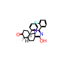 C[C@@H]1C(=O)CC[C@]2(c3ccccc3)c3nc(-c4ccccc4F)nc(O)c3CC[C@@H]12